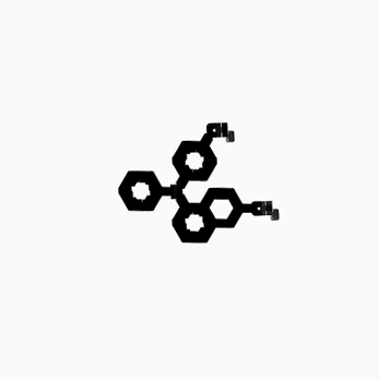 Cc1ccc(N(c2ccccc2)c2cccc3c2C=CC(C)C3)cc1